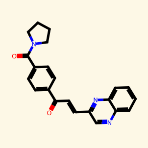 O=C(C=Cc1cnc2ccccc2n1)c1ccc(C(=O)N2CCCC2)cc1